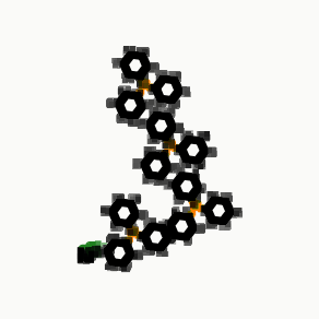 C1CCC(P(C2CCCCC2)C2CCCCC2)CC1.C1CCC(P(C2CCCCC2)C2CCCCC2)CC1.C1CCC(P(C2CCCCC2)C2CCCCC2)CC1.C1CCC(P(C2CCCCC2)C2CCCCC2)CC1.[Cl-].[Cl-].[Ni+2]